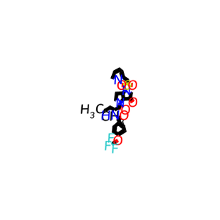 CC(C)CC(NC(=O)c1ccc(OC(F)(F)F)cc1)C(=O)N1CCC2C1C(=O)CN2S(=O)(=O)Cc1ccccn1